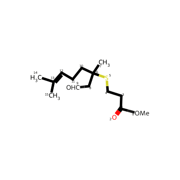 COC(=O)CCSC(C)(CC=O)CCC=C(C)C